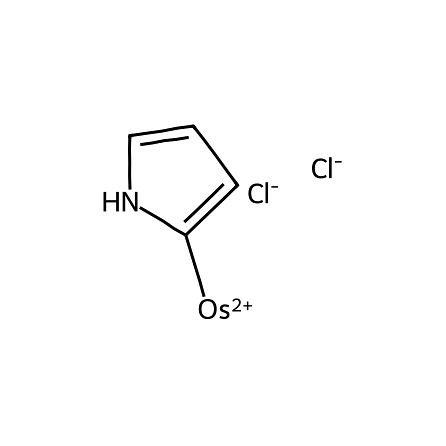 [Cl-].[Cl-].[Os+2][c]1ccc[nH]1